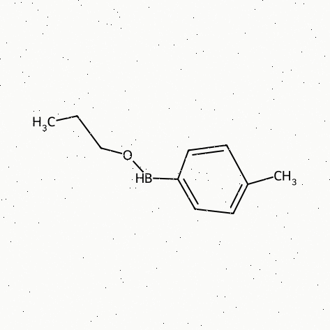 CCCOBc1ccc(C)cc1